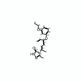 C=C/C(=C\C=C(/C)n1c(C)n[nH]c1=O)Oc1cccc(OCC)c1